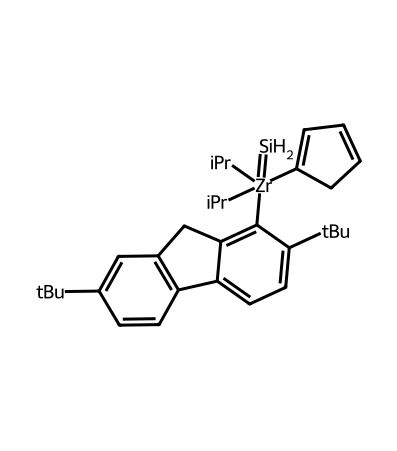 C[CH](C)[Zr](=[SiH2])([C]1=CC=CC1)([c]1c(C(C)(C)C)ccc2c1Cc1cc(C(C)(C)C)ccc1-2)[CH](C)C